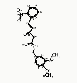 COc1ccc(COC(=O)CC(=O)C=Cc2ccccc2[N+](=O)[O-])cc1OC